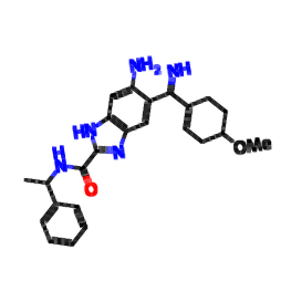 COC1CC=C(C(=N)c2cc3nc(C(=O)NC(C)c4ccccc4)[nH]c3cc2N)CC1